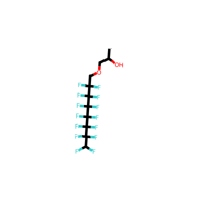 [CH2]C(O)COCC(F)(F)C(F)(F)C(F)(F)C(F)(F)C(F)(F)C(F)(F)C(F)F